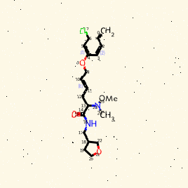 C=C/C=C\C(=C/CCl)OC/C=C/CC(C(=O)NCC1CCOC1)N(C)OC